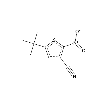 CC(C)(C)c1cc(C#N)c([N+](=O)[O-])s1